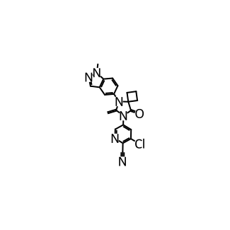 C=C1N(c2cnc(C#N)c(Cl)c2)C(=O)C2(CCC2)N1c1ccc2c(cnn2C)c1